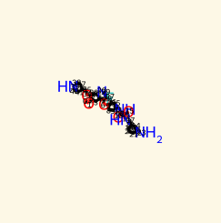 COc1cc2c(Oc3ccc(NC(=O)C(=O)NCc4cccc(N)c4)cc3F)ccnc2cc1OCC1CCNCC1